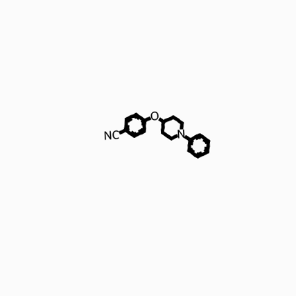 N#Cc1ccc(OC2CCN(c3ccccc3)CC2)cc1